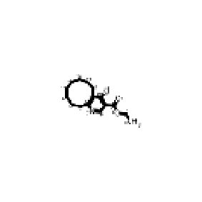 CCOC(=O)c1cnc2c(c1Cl)CCCCCCCC2